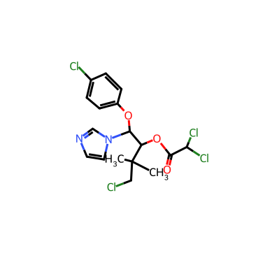 CC(C)(CCl)C(OC(=O)C(Cl)Cl)C(Oc1ccc(Cl)cc1)n1ccnc1